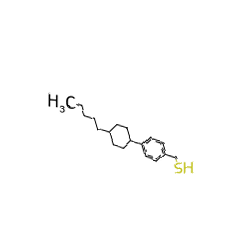 CCCCCC1CCC(c2ccc(CS)cc2)CC1